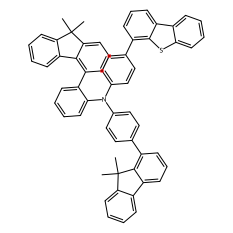 CC1(C)c2ccccc2-c2c(-c3ccccc3N(c3ccc(-c4cccc5c4C(C)(C)c4ccccc4-5)cc3)c3ccc(-c4cccc5c4sc4ccccc45)cc3)cccc21